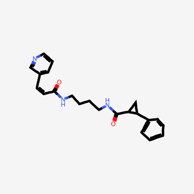 O=C(/C=C\c1cccnc1)NCCCCNC(=O)C1CC1c1ccccc1